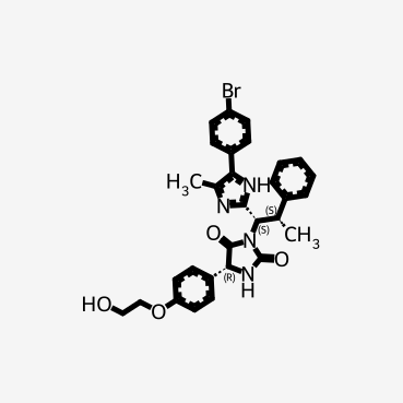 Cc1nc([C@H]([C@@H](C)c2ccccc2)N2C(=O)N[C@H](c3ccc(OCCO)cc3)C2=O)[nH]c1-c1ccc(Br)cc1